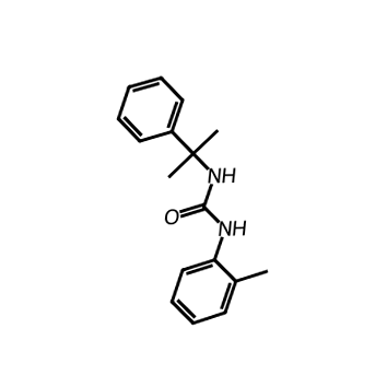 Cc1ccccc1NC(=O)NC(C)(C)c1ccccc1